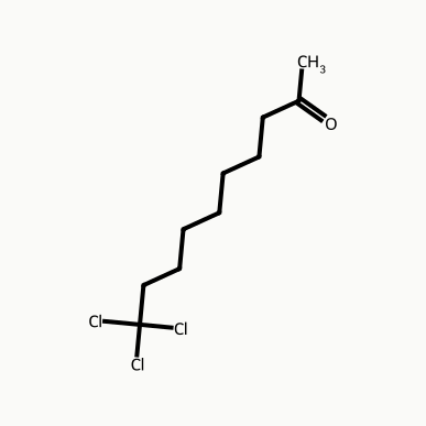 CC(=O)CCCCCCCC(Cl)(Cl)Cl